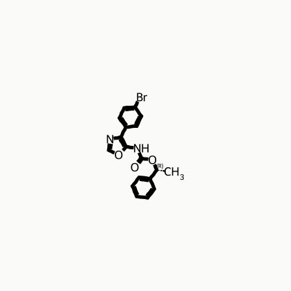 C[C@@H](OC(=O)Nc1ocnc1-c1ccc(Br)cc1)c1ccccc1